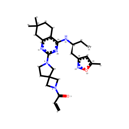 C=CC(=O)N1CC2(CCN(c3nc4c(c(N[C@H](Cc5cc(C)on5)CC(C)C)n3)CCC(C)(C)C4)C2)C1